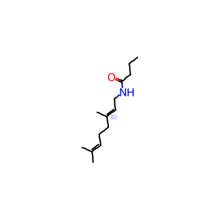 CCCC(=O)NC/C=C(\C)CCC=C(C)C